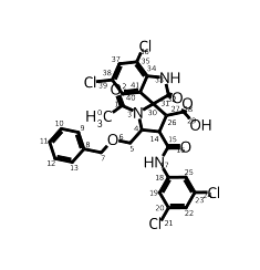 CC(=O)N1C(COCc2ccccc2)C(C(=O)Nc2cc(Cl)cc(Cl)c2)C(C(=O)O)C12C(=O)Nc1c(Cl)cc(Cl)cc12